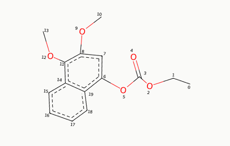 CCOC(=O)Oc1cc(OC)c(OC)c2ccccc12